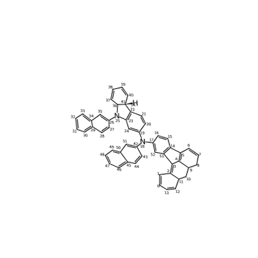 C1=CC2=C3C4=C(C=CCC4CC2C=C1)c1ccc(N(c2ccc4c(c2)N(c2ccc5ccccc5c2)C2C=CC=C[C@H]42)c2ccc4ccccc4c2)cc13